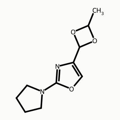 CC1OC(c2coc(N3CCCC3)n2)O1